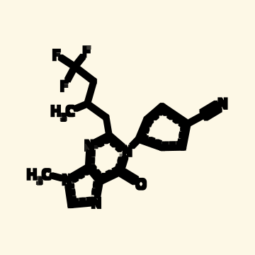 CC(Cc1nc2c(ncn2C)c(=O)n1-c1ccc(C#N)cc1)CC(F)(F)F